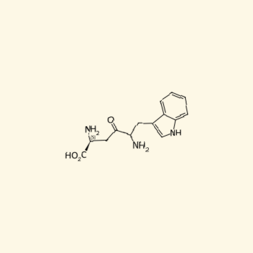 NC(Cc1c[nH]c2ccccc12)C(=O)C[C@H](N)C(=O)O